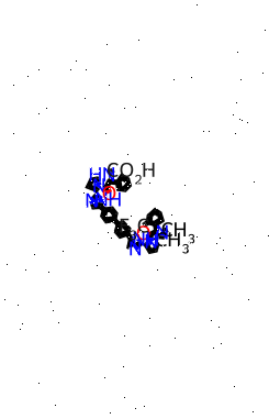 CN(C)C(C(=O)N1CCC[C@H]1c1ncc(-c2ccc(-c3ccc(-c4cnc([C@@H]5CCCN5C(=O)[C@H](NC(=O)O)c5ccccc5)[nH]4)cc3)cc2)[nH]1)c1ccccc1C(F)(F)F